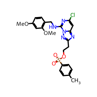 COc1ccc(CNc2nc(Cl)cc3nc(CCOS(=O)(=O)c4ccc(C)cc4)nn23)c(OC)c1